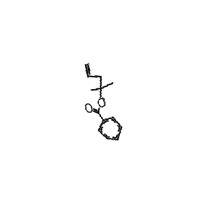 C=CCC(C)(C)OC(=O)c1ccccc1